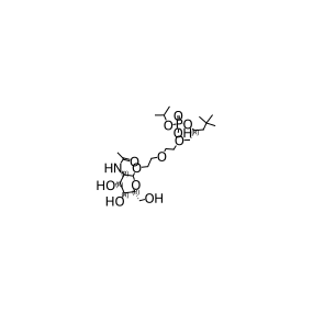 CC(=O)N[C@H]1C(OCCOCCOC[C@@H](CC(C)(C)C)OP(=O)(O)OC(C)C)O[C@H](CO)[C@H](O)[C@@H]1O